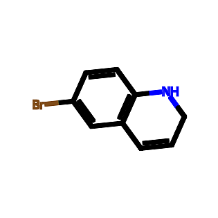 Brc1ccc2c(c1)C=CCN2